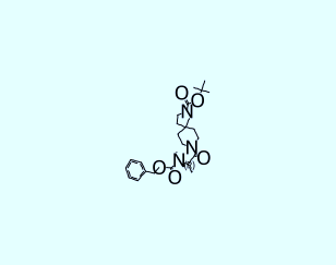 C[C@H](C(=O)N1CCC2(CCN(C(=O)OC(C)(C)C)C2)CC1)N(C)C(=O)OCc1ccccc1